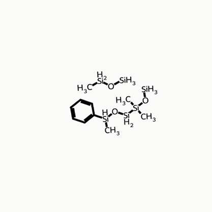 C[SiH2]O[SiH3].C[SiH](O[SiH2][Si](C)(C)O[SiH3])c1ccccc1